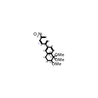 C=C(/C=C\C(=C)[N+](=O)[O-])c1ccc2c(c1)CCC(OC)C2(OC)OC